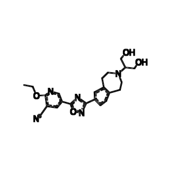 CCOc1ncc(-c2nc(-c3ccc4c(c3)CCN(C(CO)CO)CC4)no2)cc1C#N